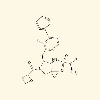 C[C@H](F)S(=O)(=O)N[C@@H]1[C@H](Cc2cccc(-c3ccccc3)c2F)N(C(=O)[C@H]2CCO2)CC12CC2